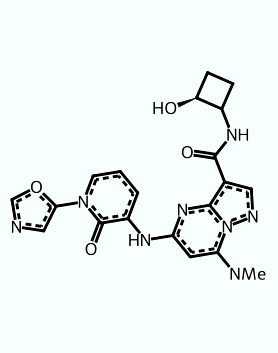 CNc1cc(Nc2cccn(-c3cnco3)c2=O)nc2c(C(=O)NC3CC[C@@H]3O)cnn12